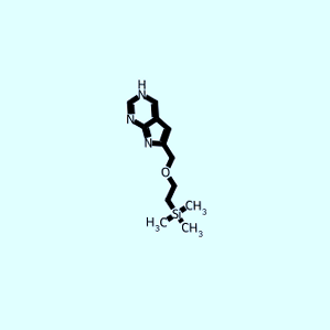 C[Si](C)(C)CCOCc1cc2c[nH]cnc-2n1